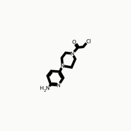 Nc1ccc(N2CCN(C(=O)CCl)CC2)cn1